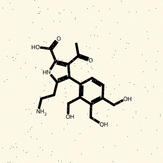 CC(=O)c1c(C(=O)O)[nH]c(CCN)c1-c1ccc(CO)c(CO)c1CO